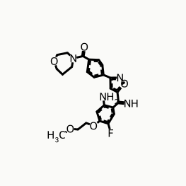 COCCOc1cc(N)c(C(=N)c2cc(-c3ccc(C(=O)N4CCCOCC4)cc3)no2)cc1F